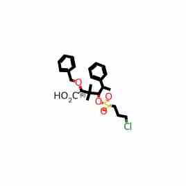 CC(c1ccccc1)C(OS(=O)(=O)CCCCl)C(C)(C)[C@@H](OCc1ccccc1)C(=O)O